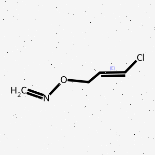 C=NOC/C=C/Cl